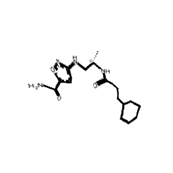 C[C@@H](CNc1cc(C(N)=O)on1)NC(=O)[CH]CC1CCCCC1